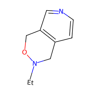 CCN1Cc2ccncc2CO1